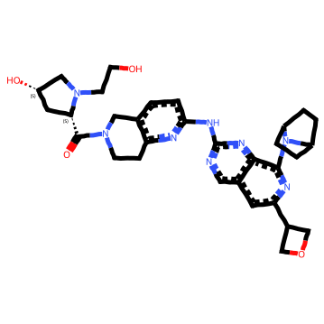 O=C([C@@H]1C[C@H](O)CN1CCO)N1CCc2nc(Nc3ncc4cc(C5COC5)nc(N5C6CCC5CC6)c4n3)ccc2C1